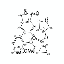 COc1ccc(-c2ccc3c(c2)COC3=O)c(OCC2(C(=O)O[C@H]3CCOC3)CCC2)c1OC